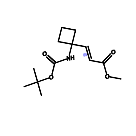 COC(=O)/C=C/C1(NC(=O)OC(C)(C)C)CCC1